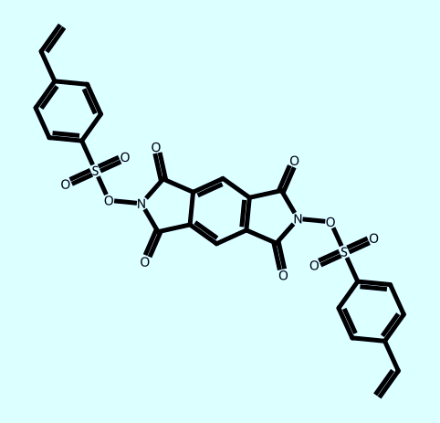 C=Cc1ccc(S(=O)(=O)On2c(=O)c3cc4c(=O)n(OS(=O)(=O)c5ccc(C=C)cc5)c(=O)c4cc3c2=O)cc1